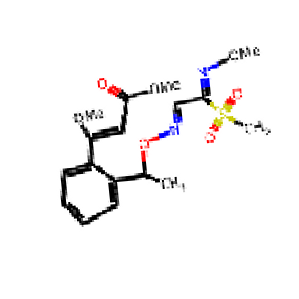 CON=C(C=NOC(C)c1ccccc1C(=CC(=O)OC)OC)S(C)(=O)=O